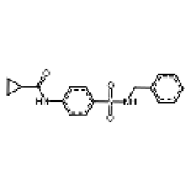 O=C(Nc1ccc(S(=O)(=O)NCc2ccccc2)cc1)C1CC1